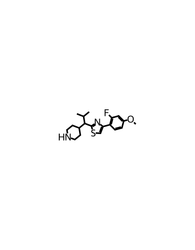 COc1ccc(-c2csc(C(C(C)C)C3CCNCC3)n2)c(F)c1